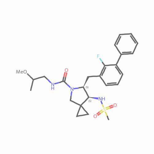 COC(C)CNC(=O)N1CC2(CC2)[C@H](NS(C)(=O)=O)[C@@H]1Cc1cccc(-c2ccccc2)c1F